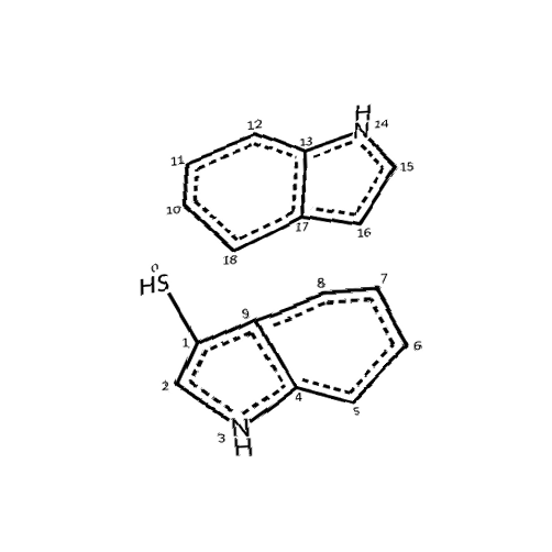 Sc1c[nH]c2ccccc12.c1ccc2[nH]ccc2c1